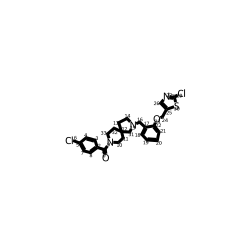 O=C(c1ccc(Cl)cc1)N1CCC2(CCN(Cc3ccccc3OCc3cnc(Cl)s3)C2)CC1